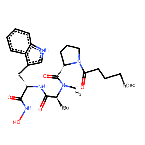 CCCCCCCCCCCCCC(=O)N1CCC[C@H]1C(=O)N(C)[C@H](C(=O)N[C@@H](Cc1c[nH]c2ccccc12)C(=O)NO)C(C)CC